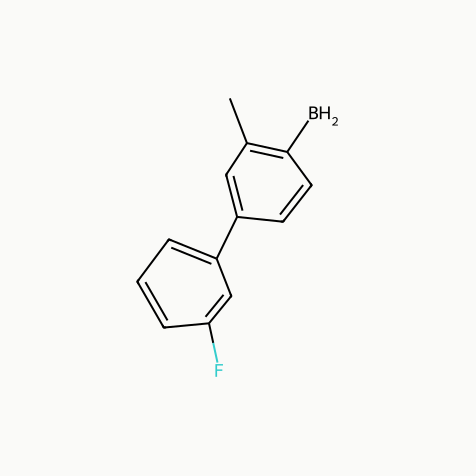 Bc1ccc(-c2cccc(F)c2)cc1C